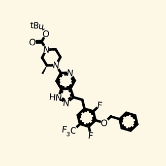 C[C@H]1CN(C(=O)OC(C)(C)C)CCN1c1cc2[nH]nc(Cc3cc(C(F)(F)F)c(F)c(OCc4ccccc4)c3F)c2cn1